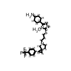 Cn1c(SCCCN2CC[C@]3(C[C@@H]3c3ccc(C(F)(F)F)cc3)C2)nnc1C1CCC(N)CC1